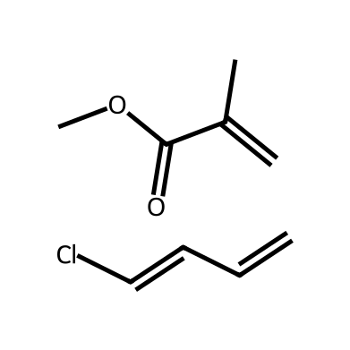 C=C(C)C(=O)OC.C=CC=CCl